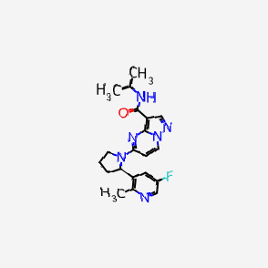 Cc1ncc(F)cc1C1CCCN1c1ccn2ncc(C(=O)NC(C)C)c2n1